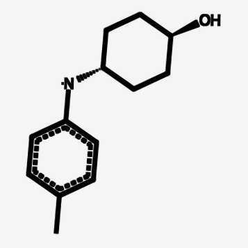 Cc1ccc([N][C@H]2CC[C@H](O)CC2)cc1